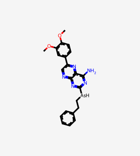 COc1ccc(-c2cnc3nc([AsH]CCc4ccccc4)nc(N)c3n2)cc1OC